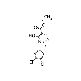 CCOC(=O)c1cnc(Cc2ccc(Cl)c(Cl)c2)nc1O